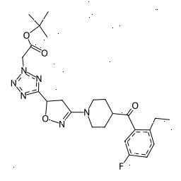 CCc1ccc(F)cc1C(=O)C1CCN(C2=NOC(c3nnn(CC(=O)OC(C)(C)C)n3)C2)CC1